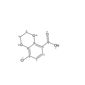 O=C(O)c1ccc(Cl)c2c1OCCO2